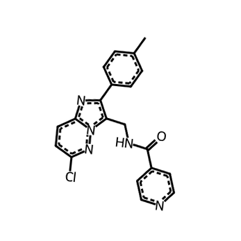 Cc1ccc(-c2nc3ccc(Cl)nn3c2CNC(=O)c2ccncc2)cc1